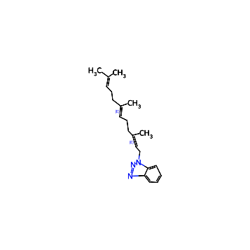 CC(C)=CCC/C(C)=C/CC/C(C)=C/Cn1nnc2ccccc21